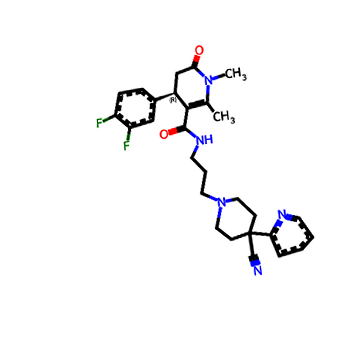 CC1=C(C(=O)NCCCN2CCC(C#N)(c3ccccn3)CC2)[C@@H](c2ccc(F)c(F)c2)CC(=O)N1C